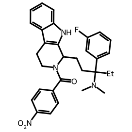 CCC(CCC1c2[nH]c3ccccc3c2CCN1C(=O)c1ccc([N+](=O)[O-])cc1)(c1cccc(F)c1)N(C)C